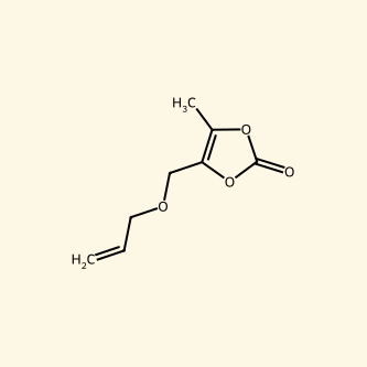 C=CCOCc1oc(=O)oc1C